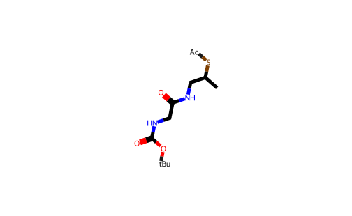 CC(=O)SC(C)CNC(=O)CNC(=O)OC(C)(C)C